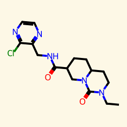 CCN1CCC2CCC(C(=O)NCc3nccnc3Cl)CN2C1=O